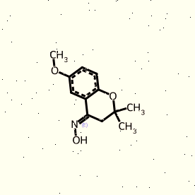 COc1ccc2c(c1)/C(=N/O)CC(C)(C)O2